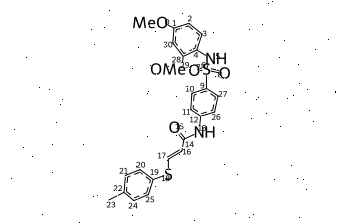 COc1ccc(NS(=O)(=O)c2ccc(NC(=O)C=CSc3ccc(C)cc3)cc2)c(OC)c1